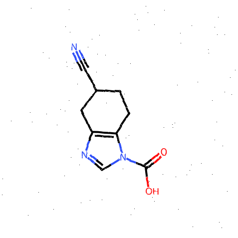 N#CC1CCc2c(ncn2C(=O)O)C1